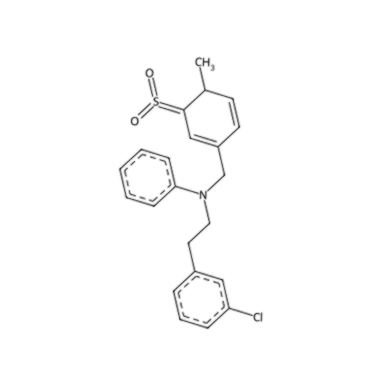 CC1C=CC(CN(CCc2cccc(Cl)c2)c2ccccc2)=CC1=S(=O)=O